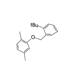 Cc1ccc(C)c(OCc2ccccc2C(C)(C)C)c1